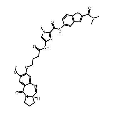 COc1cc2c(cc1OCCCC(=O)Nc1cn(C)c(C(=O)Nc3ccc4sc(C(=O)N(C)C)cc4c3)n1)N=C[C@@H]1CCCN1C2=O